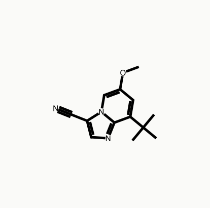 COc1cc(C(C)(C)C)c2ncc(C#N)n2c1